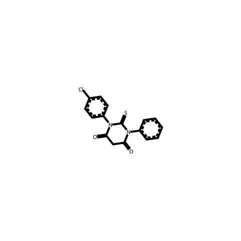 O=C1CC(=O)N(c2ccc(Cl)cc2)C(=S)N1c1ccccc1